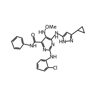 CONc1c(Nc2cc(C3CC3)n[nH]2)nc(Nc2ccccc2Cl)nc1C(=O)Nc1ccccc1